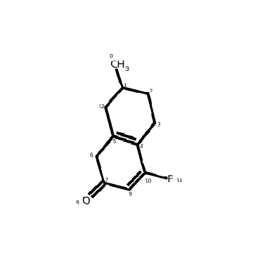 CC1CCC2=C(CC(=O)C=C2F)C1